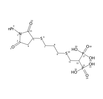 CCCN1C(=O)CC(SCCCSCC(P(=O)(O)O)P(=O)(O)O)C1=O